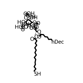 CCCCCCCCCCCCCCCC(=O)O[C@H](COC(=O)CCCCCCCCCCCCCCS)COP(=O)(O)OC1C(O)[C@@H](OP(=O)(O)O)C(O)[C@@H](OP(=O)(O)O)[C@H]1O